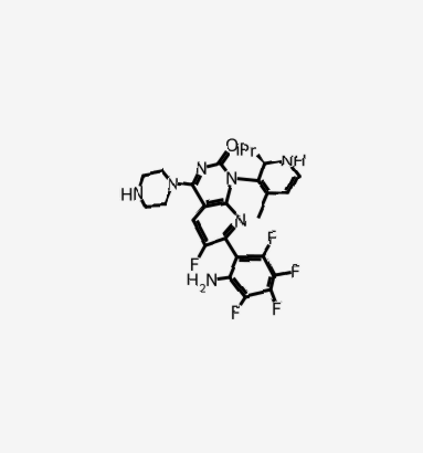 CC1=C(n2c(=O)nc(N3CCNCC3)c3cc(F)c(-c4c(N)c(F)c(F)c(F)c4F)nc32)[C@@H](C(C)C)NC=C1